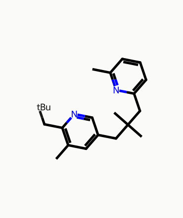 Cc1cccc(CC(C)(C)Cc2cnc(CC(C)(C)C)c(C)c2)n1